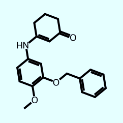 COc1ccc(NC2=CC(=O)CCC2)cc1OCc1ccccc1